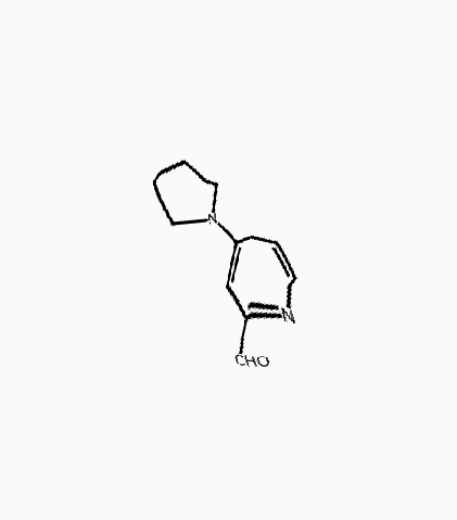 O=Cc1cc(N2CCCC2)ccn1